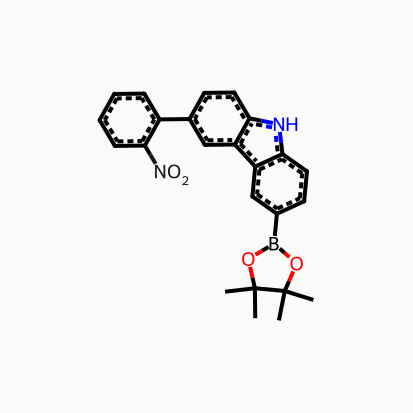 CC1(C)OB(c2ccc3[nH]c4ccc(-c5ccccc5[N+](=O)[O-])cc4c3c2)OC1(C)C